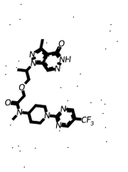 Cc1nn(C(C)COCC(=O)N(C)C2CCN(c3ncc(C(F)(F)F)cn3)CC2)c2cn[nH]c(=O)c12